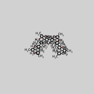 Cc1cc(C)c(B(c2c(C)cc(C)cc2C)c2c(C)c(C)c(-c3c(C)c(C)c(B(c4c(C)cc(C)cc4C)c4c(C)c(C)c(-c5c(C)c(C)c(B(c6c(C)cc(C)cc6C)c6c(C)c(C)c(-c7c(C)c(C)c(B(c8c(C)cc(C)cc8C)c8c(C)cc(C)cc8C)c(C)c7C)c(C)c6C)c(C)c5C)c(C)c4C)c(C)c3C)c(C)c2C)c(C)c1